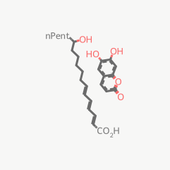 CCCCCC(O)CCCCCC=CC=CC=CC(=O)O.O=c1ccc2cc(O)c(O)cc2o1